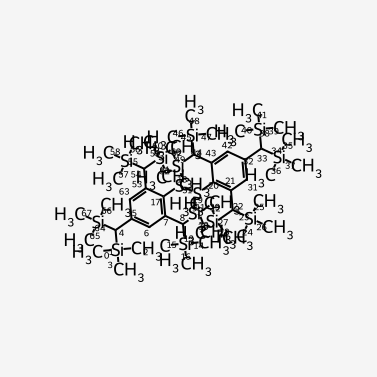 C[Si](C)(C)C(c1cc(C([Si](C)(C)C)[Si](C)(C)C)c(SSc2c(C([Si](C)(C)C)[Si](C)(C)C)cc(C([Si](C)(C)C)[Si](C)(C)C)cc2C([Si](C)(C)C)[Si](C)(C)C)c(C([Si](C)(C)C)[Si](C)(C)C)c1)[Si](C)(C)C